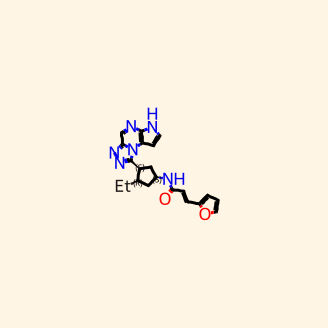 CC[C@@H]1C[C@H](NC(=O)C=Cc2ccco2)C[C@@H]1c1nnc2cnc3[nH]ccc3n12